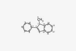 CC1C(c2ccccc2)=[C]c2ccccc21